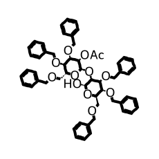 CC(=O)O[C@@H]1[C@@H](O[C@H]2[C@@H](OCc3ccccc3)[C@H](OCc3ccccc3)[C@@H](COCc3ccccc3)O[C@@H]2O)O[C@H](COCc2ccccc2)[C@@H](OCc2ccccc2)[C@@H]1OCc1ccccc1